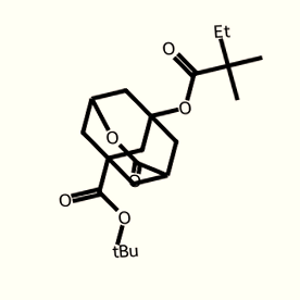 CCC(C)(C)C(=O)OC12CC3CC(C(=O)OC(C)(C)C)(CC(C1)C(=O)O3)C2